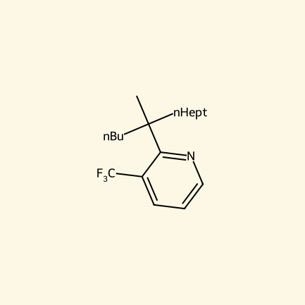 CCCCCCCC(C)(CCCC)c1ncccc1C(F)(F)F